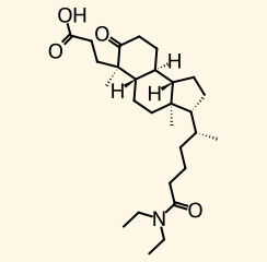 CCN(CC)C(=O)CCC[C@@H](C)[C@H]1CC[C@H]2[C@@H]3CCC(=O)[C@](C)(CCC(=O)O)[C@H]3CC[C@]12C